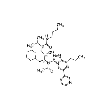 CCCCNC(=O)[C@H](C[C@H](O)[C@H](CC1CCCCC1)N(C(C)=O)c1nnc2c(CCC)nc(-c3cccnc3)cn12)C(C)C